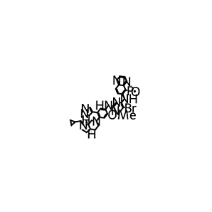 COc1cc(N2CC[C@H]3CCN(CC4CC4)[C@@H]3C2)c(-c2cnn(C)c2)cc1Nc1ncc(Br)c(Nc2ccc3nccnc3c2P(C)(C)=O)n1